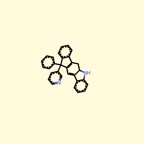 C1=C2c3ccccc3NC2CC2=C1C(c1ccccc1)(c1cccnc1)c1ccccc12